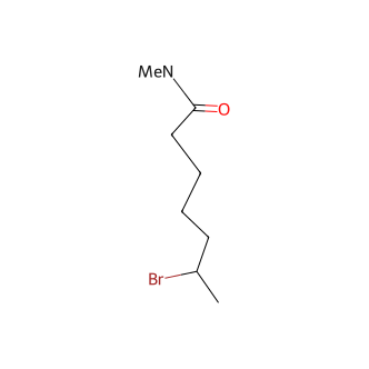 CNC(=O)CCCCC(C)Br